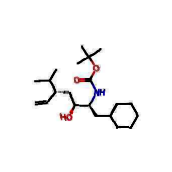 C=C[C@@H](C[C@H](O)[C@H](CC1CCCCC1)NC(=O)OC(C)(C)C)C(C)C